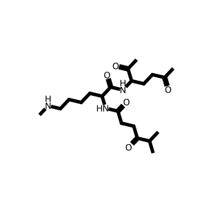 CNCCCCC(NC(=O)CCC(=O)C(C)C)C(=O)NC(CCC(C)=O)C(C)=O